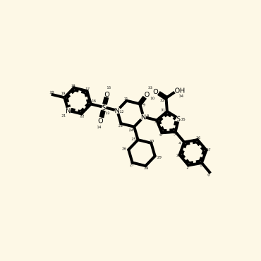 Cc1ccc(-c2cc(N3C(=O)CN(S(=O)(=O)c4ccc(C)nc4)CC3C3CCCCC3)c(C(=O)O)s2)cc1